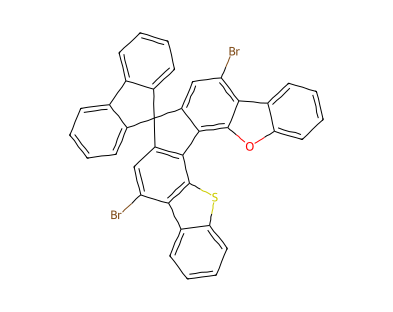 Brc1cc2c(c3oc4ccccc4c13)-c1c(cc(Br)c3c1sc1ccccc13)C21c2ccccc2-c2ccccc21